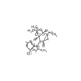 C=C[C@@]12C[C@@H]1[C@@H](n1c(C)cc3c(Cl)ncnc31)[C@@H]1OC(C)(C)O[C@@H]12